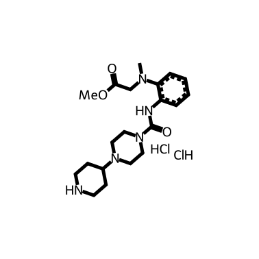 COC(=O)CN(C)c1ccccc1NC(=O)N1CCN(C2CCNCC2)CC1.Cl.Cl